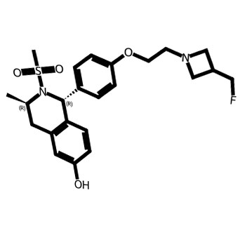 C[C@@H]1Cc2cc(O)ccc2[C@@H](c2ccc(OCCN3CC(CF)C3)cc2)N1S(C)(=O)=O